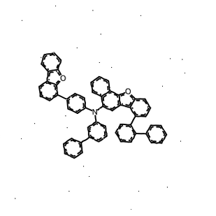 c1ccc(-c2cccc(N(c3ccc(-c4cccc5c4oc4ccccc45)cc3)c3cc4c(oc5cccc(-c6ccccc6-c6ccccc6)c54)c4ccccc34)c2)cc1